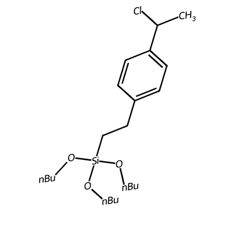 CCCCO[Si](CCc1ccc(C(C)Cl)cc1)(OCCCC)OCCCC